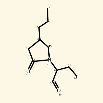 CCCC1CC(=O)N(C(C=O)CC)C1